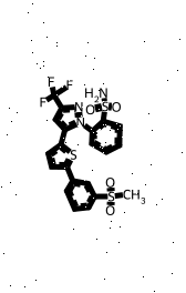 CS(=O)(=O)c1cccc(-c2ccc(-c3cc(C(F)(F)F)nn3-c3ccccc3S(N)(=O)=O)s2)c1